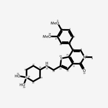 COc1ccc(-c2cn(C)c(=O)c3cc(CNC4CCS(O)(O)CC4)sc23)cc1OC